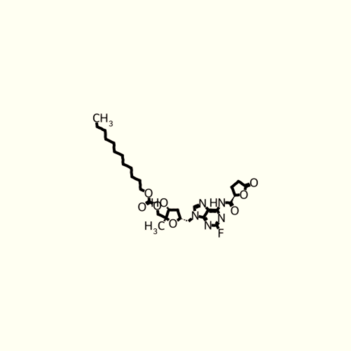 CCCCCCCCCCCCOC(=O)OC[C@@]1(C)O[C@@H](Cn2cnc3c(NC(=O)[C@H]4CCC(=O)O4)nc(F)nc32)C[C@@H]1O